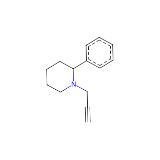 C#CCN1CCCCC1c1ccccc1